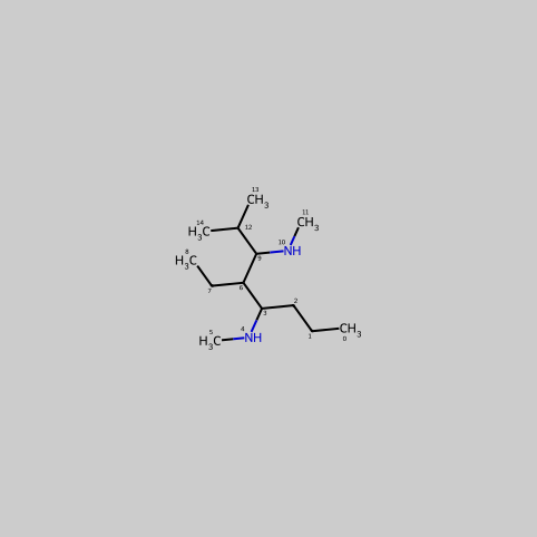 CCCC(NC)C(CC)C(NC)C(C)C